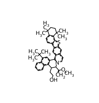 C=C(OC)C1C(CCO)c2c(cc(C(C)(C)C)c3ccccc23)-c2c3cc4c(cc3cc[n+]21)sc1c2c(ccc14)C(C)(C)CCC2(C)C